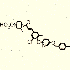 Cc1ccc(COc2ccc(Oc3c(C)cc(/C=C/C(=O)N4CCN(C(=O)O)C[C@@H]4C)cc3Cl)nc2)cc1